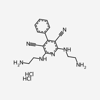 Cl.Cl.N#Cc1c(NCCN)nc(NCCN)c(C#N)c1-c1ccccc1